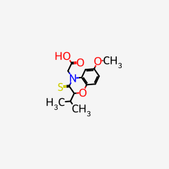 COc1ccc2c(c1)N(CC(=O)O)C(=S)C(C(C)C)O2